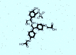 CS(=O)(=O)Nc1cc([C@H](CO)NCC(c2ccc(OCC(=O)O)cc2)c2ccc(OCC(=O)O)cc2)ccc1O